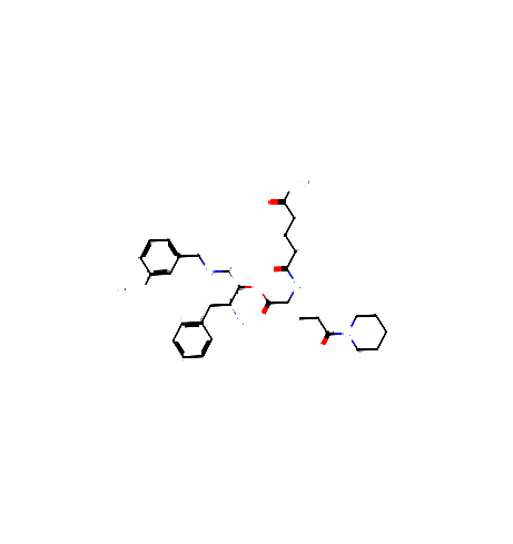 COC(=O)CCCC(=O)N[C@H](CCC(=O)N1CCCCC1)C(=O)O[C@H](CNCc1cccc(OC)c1)[C@@H](N)Cc1ccccc1